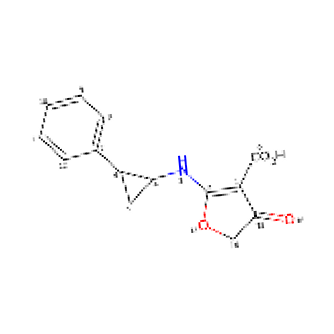 O=C(O)C1=C(NC2CC2c2ccccc2)OCC1=O